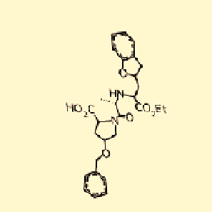 CCOC(=O)C(CC1Cc2ccccc2O1)N[C@@H](C)C(=O)N1CC(OCc2ccccc2)CC1C(=O)O